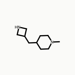 CN1CCC(CC2CNC2)CC1